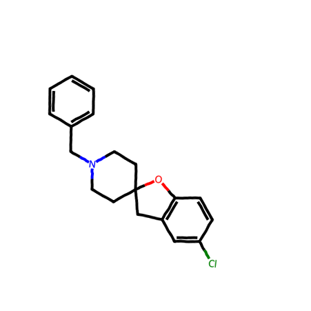 Clc1ccc2c(c1)CC1(CCN(Cc3ccccc3)CC1)O2